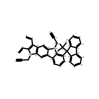 C#CCn1c(C=C)c(C=C)c2cc3c(cc21)c1cccc(C2(C(C)(C)C)c4ccccc4-c4ccccc42)c1n3CC#C